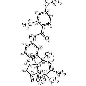 COc1cnc(C(=O)Nc2ccc(F)c([C@@]3(C)N=C(N)C(C)(C)[SH]4(=O)NCC[C@@H]34)c2)c(C)c1